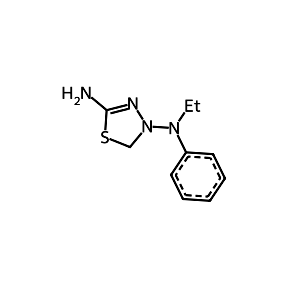 CCN(c1ccccc1)N1CSC(N)=N1